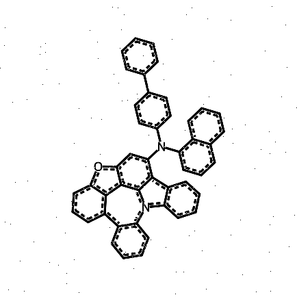 c1ccc(-c2ccc(N(c3cccc4ccccc34)c3cc4oc5cccc6c7ccccc7n7c8ccccc8c3c7c4c56)cc2)cc1